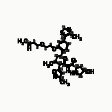 CNCCOCCOc1cc(-c2scnc2C)ccc1CCC(C)[C@@H](C(=O)NC(=O)[C@@H]1C[C@@H](O)CN1)c1cc(C)no1